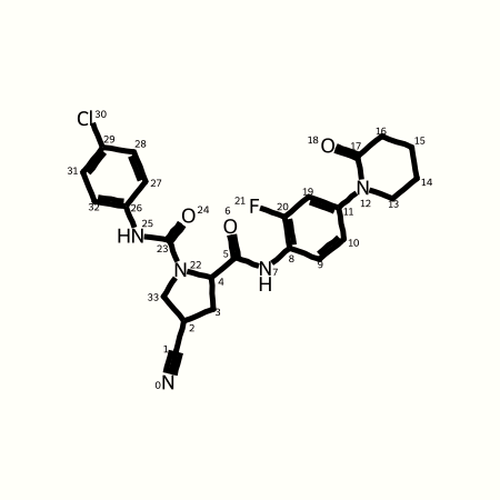 N#CC1CC(C(=O)Nc2ccc(N3CCCCC3=O)cc2F)N(C(=O)Nc2ccc(Cl)cc2)C1